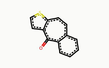 O=c1c2ccccc2ccc2sccc12